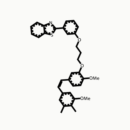 COc1ccc(/C=C\c2cc(C)c(C)c(OC)c2)cc1OCCCOc1cccc(-c2nc3ccccc3s2)c1